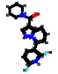 O=C(c1cnn2c(-c3ccc(F)nc3F)cccc12)N1CCCCC1